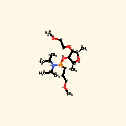 COCCCP(O[C@H]1[C@@H](OCCOC)[C@H](C)O[C@@H]1C)N(C(C)C)C(C)C